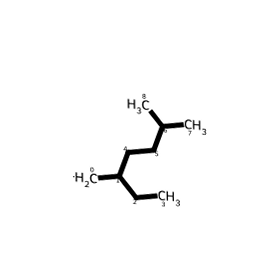 [CH2]C(CC)CCC(C)C